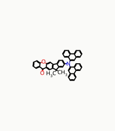 CC1(C)c2cc(N(c3cc4ccccc4c4ccccc34)c3cc4ccccc4c4ccccc34)ccc2-c2cc3oc4ccccc4c(=O)c3cc21